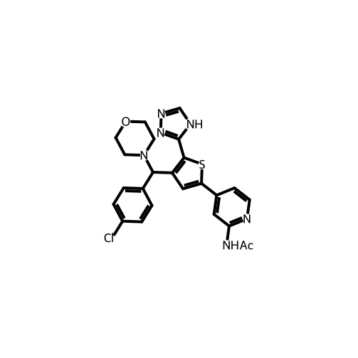 CC(=O)Nc1cc(-c2cc(C(c3ccc(Cl)cc3)N3CCOCC3)c(-c3nnc[nH]3)s2)ccn1